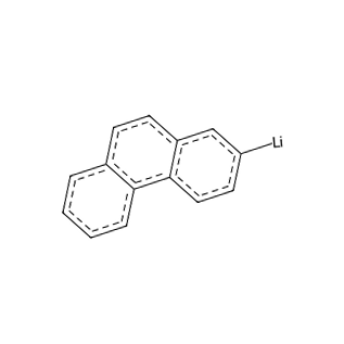 [Li][c]1ccc2c(ccc3ccccc32)c1